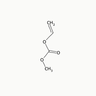 C=COC(=O)OC